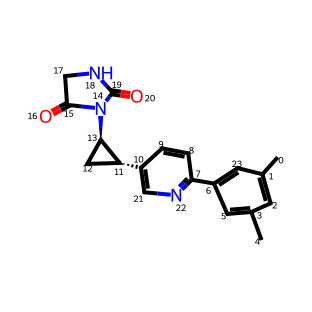 Cc1cc(C)cc(-c2ccc([C@@H]3C[C@H]3N3C(=O)CNC3=O)cn2)c1